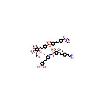 COc1cc(C=Cc2ccc(C(=O)Oc3ccc(C=Cc4ccc(C(=O)N5CCOCC5)cc4)cc3O)cc2)c(OC)c(C)c1C.Cc1c(C=Cc2ccc(C=C[N+](=O)[O-])cc2)ccc(OC(=O)C[n+]2ccc(C=Cc3ccc(O)c(O)c3)cc2)c1O